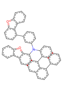 c1ccc(-c2cccc3cccc(-c4ccccc4N(c4cccc(-c5cccc6oc7ccccc7c56)c4)c4cccc5c4oc4ccccc45)c23)cc1